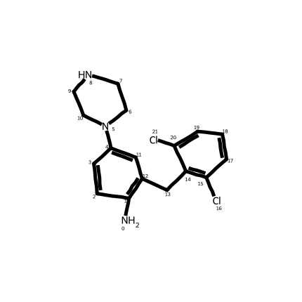 Nc1ccc(N2CCNCC2)cc1Cc1c(Cl)cccc1Cl